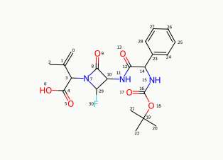 C=C(C)C(C(=O)O)N1C(=O)C(NC(=O)C(NC(=O)OC(C)(C)C)c2ccccc2)C1F